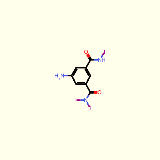 Nc1cc(C(=O)NI)cc(C(=O)N(I)I)c1